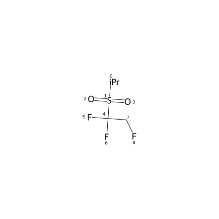 CC(C)S(=O)(=O)C(F)(F)CF